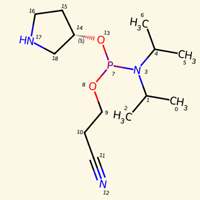 CC(C)N(C(C)C)P(OCCC#N)O[C@H]1CCNC1